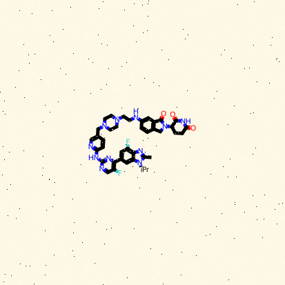 Cc1nc2c(F)cc(-c3nc(Nc4ccc(CN5CCN(CCNc6ccc7c(c6)C(=O)N(C6CCC(=O)NC6=O)C7)CC5)cn4)ncc3F)cc2n1C(C)C